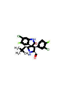 CC(C)(C)C[C@H]1N[C@@H](C=O)[C@H](c2ccc(F)c(Cl)c2)[C@@]12C(=O)Nc1cc(Cl)c(F)cc12